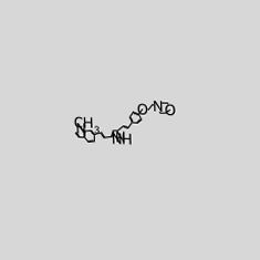 Cn1ccc2ccc(/C=C/c3cc(/C=C/c4ccc(OCCN5CCOCC5)cc4)n[nH]3)cc21